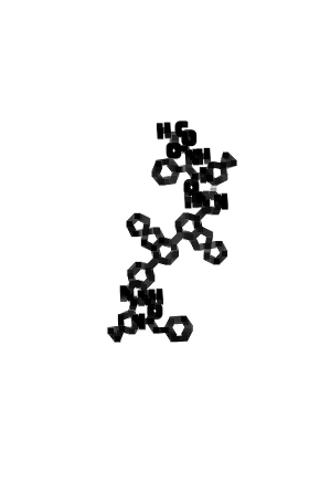 COC(=O)N[C@H](C(=O)N1CC2(CC2)C[C@@H]1c1ncc(-c2ccc(-c3ccc(-c4ccc5nc([C@@H]6CC7(CC7)CN6C(=O)Cc6ccccc6)[nH]c5c4)c4c3CC3(CCCC3)C4)c3c2CC2(CCCC2)C3)[nH]1)c1ccccc1